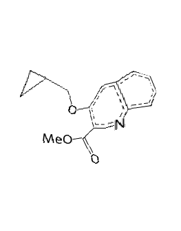 COC(=O)c1nc2ccccc2cc1OCC1CC1